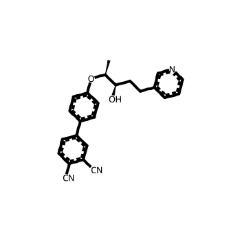 C[C@H](Oc1ccc(-c2ccc(C#N)c(C#N)c2)cc1)[C@H](O)CCc1cccnc1